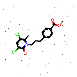 COC(=O)c1ccc(CCCn2c(C)c(Cl)cc(Cl)c2=O)cc1